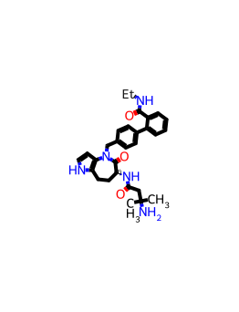 CCNC(=O)c1ccccc1-c1ccc(CN2C(=O)[C@H](NC(=O)CC(C)(C)N)CCc3[nH]ccc32)cc1